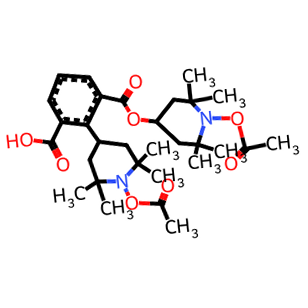 CC(=O)ON1C(C)(C)CC(OC(=O)c2cccc(C(=O)O)c2C2CC(C)(C)N(OC(C)=O)C(C)(C)C2)CC1(C)C